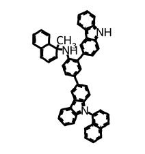 CC1(Nc2ccc(-c3ccc4c(c3)c3ccccc3n4-c3cccc4ccccc34)cc2-c2ccc3[nH]c4ccccc4c3c2)C=CC=C2C=CC=CC21